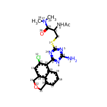 CC(=O)NC(CSc1nc(N)nc(-c2c(Cl)cc3c4c(cccc24)COC3)n1)C(=O)N(C)C